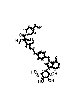 Cc1cccc2c([C@@H]3O[C@H](CO)[C@@H](O)[C@H](O)[C@H]3O)cn(Cc3ccc(CCCC(=O)NC(C)(C)C(=O)N4CCN(CC(C)C)CC4)cc3)c12